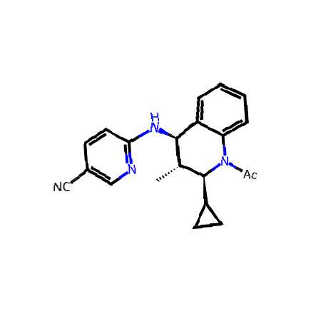 CC(=O)N1c2ccccc2[C@H](Nc2ccc(C#N)cn2)[C@@H](C)[C@@H]1C1CC1